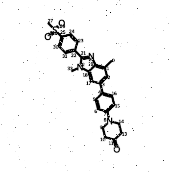 Cc1cc(-c2ccc(N3CCC(=O)CC3)cc2)cc2c1nc(-c1ccc(S(C)(=O)=O)cc1)n2C